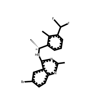 Cc1nc(N[C@H](C)c2cccc(C(F)F)c2C)c2cc(Br)ccc2n1